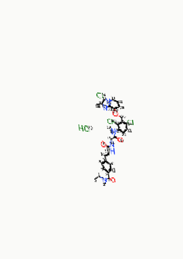 CCN(C)C(=O)c1ccc(C=CC(=O)NCC(=O)N(C)c2ccc(Cl)c(COc3cccn4c(Cl)c(C)nc34)c2Cl)cc1.Cl